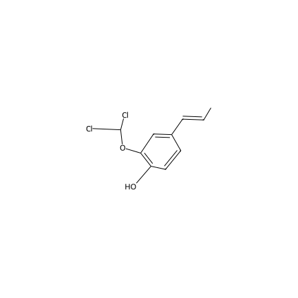 CC=Cc1ccc(O)c(OC(Cl)Cl)c1